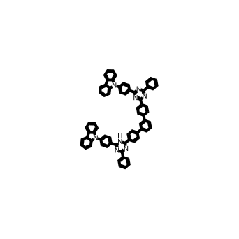 C1=CC2c3ccccc3N(c3ccc(C4=NC(c5ccccc5)=NC(c5ccc(-c6cccc(-c7ccc(-c8nc(-c9ccccc9)nc(-c9ccc(-n%10c%11ccccc%11c%11ccccc%11%10)cc9)n8)cc7)c6)cc5)N4)cc3)C2C=C1